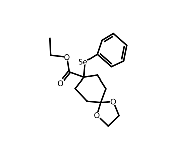 CCOC(=O)C1([Se]c2ccccc2)CCC2(CC1)OCCO2